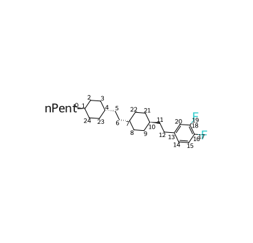 CCCCC[C@H]1CC[C@H](CC[C@H]2CC[C@H](CCc3ccc(F)c(F)c3)CC2)CC1